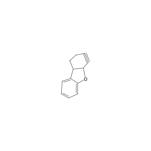 C1#CC2Oc3ccccc3C2CC1